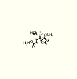 C=C(CCC(=O)ON)C(=C)C(=O)ON.Cl.Cl